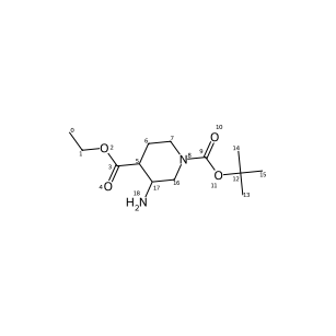 CCOC(=O)C1CCN(C(=O)OC(C)(C)C)CC1N